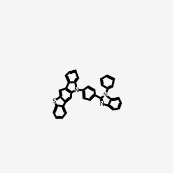 c1ccc(-n2c(-c3ccc(-n4c5ccccc5c5cc6sc7ccccc7c6cc54)cc3)nc3ccccc32)cc1